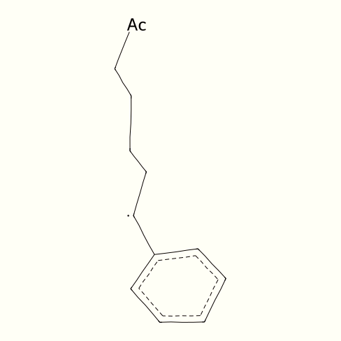 CC(=O)CCCC[CH]c1ccccc1